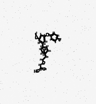 COc1cc(Oc2ccc(F)cc2)cc(C23CCC(CCOCC(=O)O)(CC2)CO3)c1